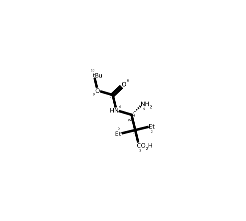 CCC(CC)(C(=O)O)[C@@H](N)NC(=O)OC(C)(C)C